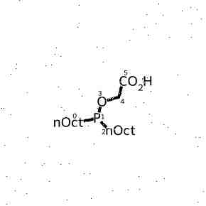 CCCCCCCCP(CCCCCCCC)OCC(=O)O